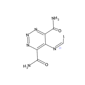 NC(=O)c1nnnc(C(N)=O)c1/N=C\I